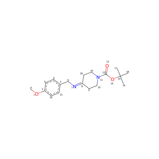 COc1ccc(CN=C2CCN(C(=O)OC(C)(C)C)CC2)cc1